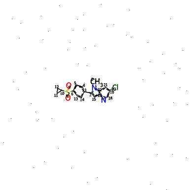 Cn1c(-c2ccc(S(=O)(=O)C3CC3)cc2)cc2ncc(Cl)cc21